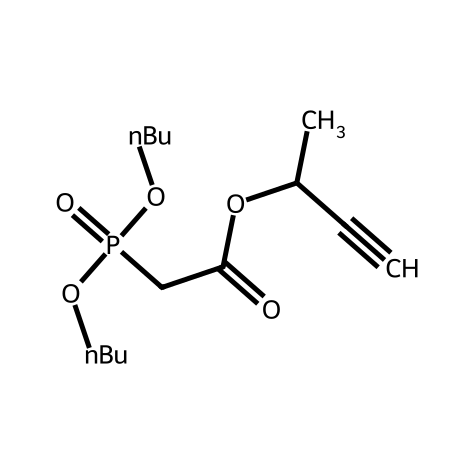 C#CC(C)OC(=O)CP(=O)(OCCCC)OCCCC